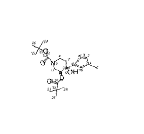 Cc1csc([C@@]2(O)CCN(C(=O)OC(C)(C)C)C[C@@H]2OC(=O)C(C)(C)C)c1